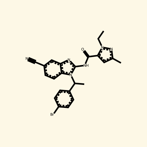 CCn1nc(C)cc1C(=O)Nc1nc2cc(C#N)ccc2n1C(C)c1ccc(Br)cc1